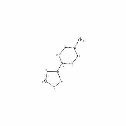 CC1CCN(C2CCOC2)CC1